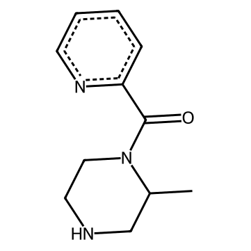 CC1CNCCN1C(=O)c1ccccn1